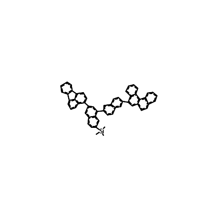 C[Si](C)(C)c1ccc2cc(-c3ccc4c5c(cccc35)-c3ccccc3-4)cc(-c3ccc4cc(-c5cc6ccc7ccccc7c6c6ccccc56)ccc4c3)c2c1